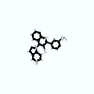 Cc1cccc(-c2nc3ccccc3c(-n3ccc4cnccc43)c2F)c1